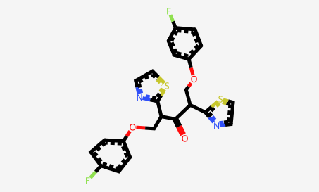 O=C(C(COc1ccc(F)cc1)c1nccs1)C(COc1ccc(F)cc1)c1nccs1